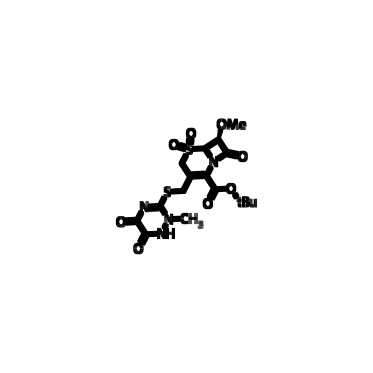 CO[C@H]1C(=O)N2C(C(=O)OC(C)(C)C)=C(CSc3nc(=O)c(=O)[nH]n3C)CS(=O)(=O)C12